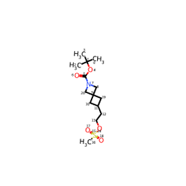 CC(C)(C)OC(=O)N1CC2(CC(CCOS(C)(=O)=O)C2)C1